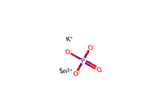 O=P([O-])([O-])[O-].[K+].[Sn+2]